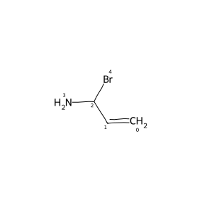 C=CC(N)Br